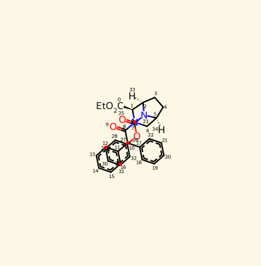 CCOC(=O)[C@H]1[C@H]2CC[C@@H](CN1C(=O)C(c1ccccc1)c1ccccc1)N2C(=O)Oc1ccccc1